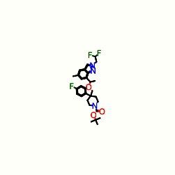 Cc1cc(C(C)OCC2(c3ccc(F)cc3)CCN(C(=O)OC(C)(C)C)CC2)c2nn(CC(F)F)cc2c1